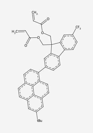 C=CC(=O)OCC1(COC(=O)C=C)c2cc(-c3ccc4ccc5cc(C(C)(C)C)cc6ccc3c4c56)ccc2-c2ccc(C(F)(F)F)cc21